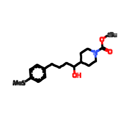 CSc1ccc(CCCC(O)C2CCN(C(=O)OC(C)(C)C)CC2)cc1